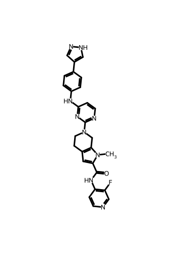 Cn1c(C(=O)Nc2ccncc2F)cc2c1CN(c1nccc(Nc3ccc(-c4cn[nH]c4)cc3)n1)CC2